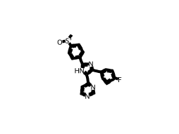 C[S+]([O-])c1ccc(-c2nc(-c3ccc(F)cc3)c(-c3ccncn3)[nH]2)cc1